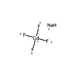 [F][Gd]([F])([F])[F].[NaH]